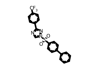 O=S(=O)(c1ccc(-c2ccccc2)cc1)n1cnc(-c2ccc(C(F)(F)F)cc2)n1